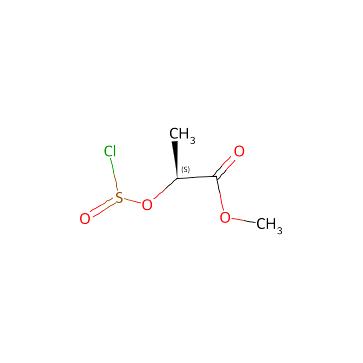 COC(=O)[C@H](C)OS(=O)Cl